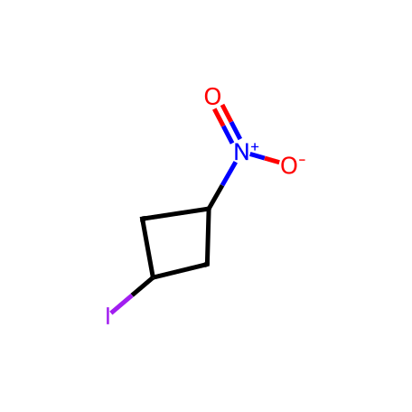 O=[N+]([O-])C1CC(I)C1